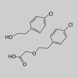 O=C(O)COCCc1ccc(Cl)cc1.OCCc1ccc(Cl)cc1